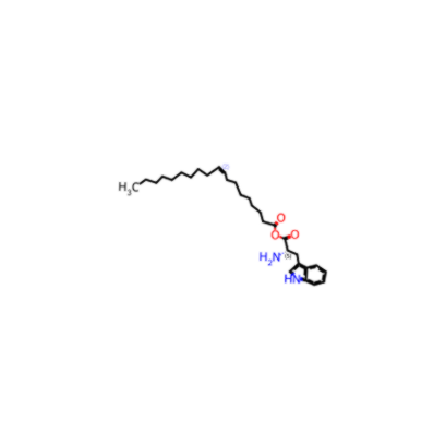 CCCCCCCCC/C=C\CCCCCCCC(=O)OC(=O)[C@@H](N)Cc1c[nH]c2ccccc12